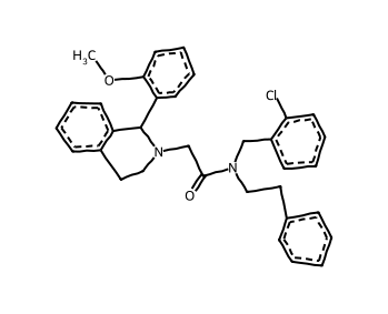 COc1ccccc1C1c2ccccc2CCN1CC(=O)N(CCc1ccccc1)Cc1ccccc1Cl